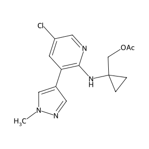 CC(=O)OCC1(Nc2ncc(Cl)cc2-c2cnn(C)c2)CC1